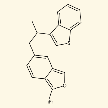 CC(C)c1occ2cc(CC(C)c3csc4ccccc34)ccc12